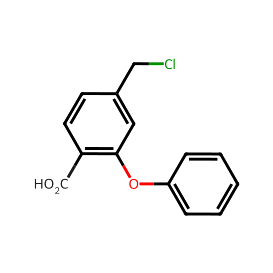 O=C(O)c1ccc(CCl)cc1Oc1ccccc1